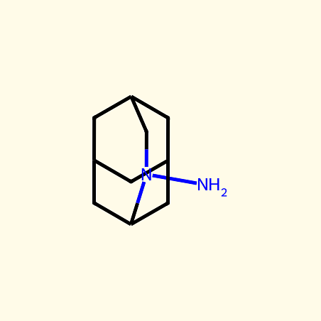 NN1CC2CC3CC(C2)CC1C3